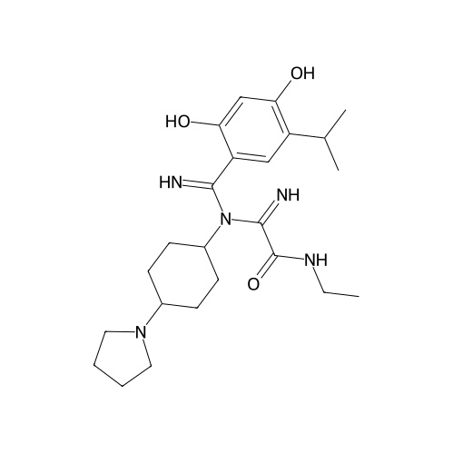 CCNC(=O)C(=N)N(C(=N)c1cc(C(C)C)c(O)cc1O)C1CCC(N2CCCC2)CC1